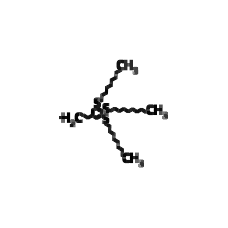 [CH2]CCc1cc(SCCCCCCCCCC)c(SCCCCCCCCCC)c(SCCCCCCCCCC)c1